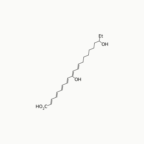 CCC(O)CCCCCCC=CC=C(O)C=CC=CC=CC=CC(=O)O